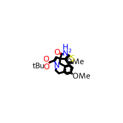 COc1cc2c(c(OC)c1)C1N(CC2)C(C(=O)OC(C)(C)C)=CC1(C(N)=O)c1ccsc1